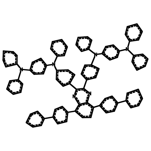 c1ccc(-c2ccc(-c3ccc(-c4ccc(-c5ccccc5)cc4)c4nc(-c5ccc(N(c6ccccc6)c6ccc(N(c7ccccc7)c7ccccc7)cc6)cc5)c(-c5ccc(N(c6ccccc6)c6ccc(N(c7ccccc7)c7ccccc7)cc6)cc5)nc34)cc2)cc1